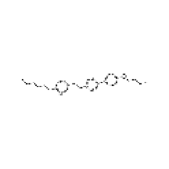 CCCCCCc1ccc(CCc2ccc(-c3ccc(OCCCC)cc3)cc2)cn1